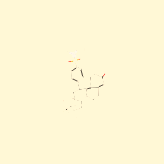 CN(C)S(=O)(=O)c1ccc(C2CC3(C)C(CC[C@@]3(O)C(C)(F)C(F)(F)F)C3CCC4=CC(=O)CCC4=C23)cc1